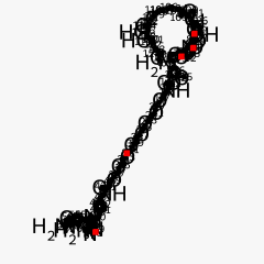 COC1C[C@@H]([C@H](N)C[C@@H]2CC[C@@H](OC(=O)NCCOCCOCCOCCOCCOCCOCCOCCOCCC(=O)NCc3ccc(Cn4nc(-c5ccc6oc(N)nc6c5)c5c(N)ncnc54)cc3)[C@H](OC)C2)OC(=O)[C@@H]2CCCCN2C(=O)C(=O)[C@]2(O)O[C@@H](CC[C@H]2C)C[C@H](OC)/C(C)=C/C=C/C=C/[C@@H](C)C[C@@H](C)C(=O)[C@H](O)[C@H](O)/C(C)=C/[C@H]1C